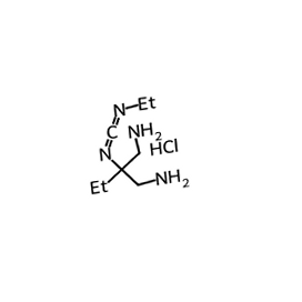 Cl.[CH2]CC(CN)(CN)N=C=NCC